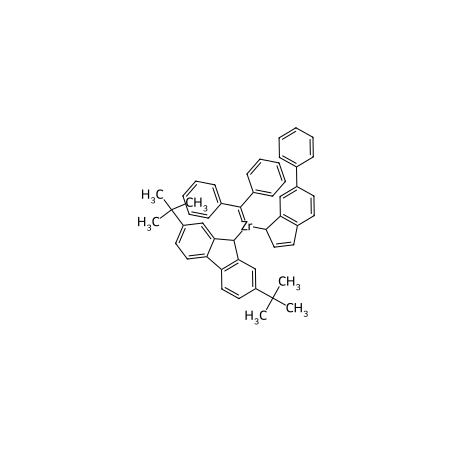 CC(C)(C)c1ccc2c(c1)[CH]([Zr](=[C](c1ccccc1)c1ccccc1)[CH]1C=Cc3ccc(-c4ccccc4)cc31)c1cc(C(C)(C)C)ccc1-2